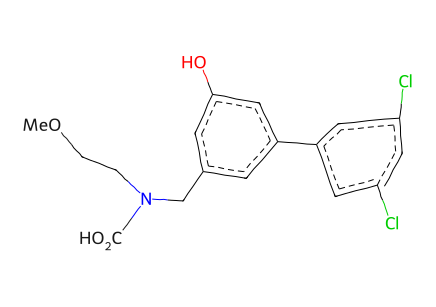 COCCN(Cc1cc(O)cc(-c2cc(Cl)cc(Cl)c2)c1)C(=O)O